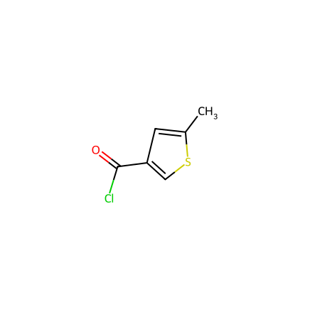 Cc1cc(C(=O)Cl)cs1